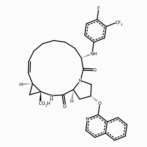 O=C1N[C@]2(C(=O)O)C[C@H]2/C=C\CCCCC[C@H](Nc2ccc(F)c(C(F)(F)F)c2)C(=O)N2C[C@H](Oc3nccc4ccccc34)C[C@@H]12